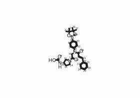 CC1(C)OB(c2ccc(N(CC(=O)N3CC[C@H](NC(=O)O)C3)C(=O)C=Cc3ccccc3)cc2)OC1(C)C